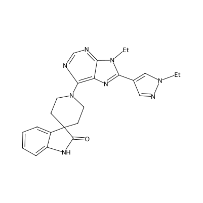 CCn1cc(-c2nc3c(N4CCC5(CC4)C(=O)Nc4ccccc45)ncnc3n2CC)cn1